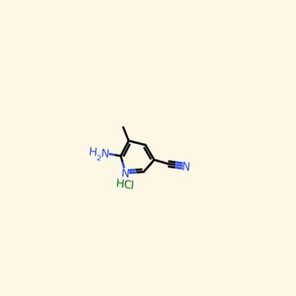 Cc1cc(C#N)cnc1N.Cl